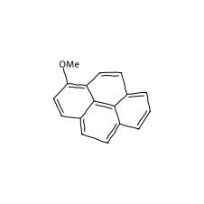 COc1ccc2ccc3cccc4ccc1c2c34